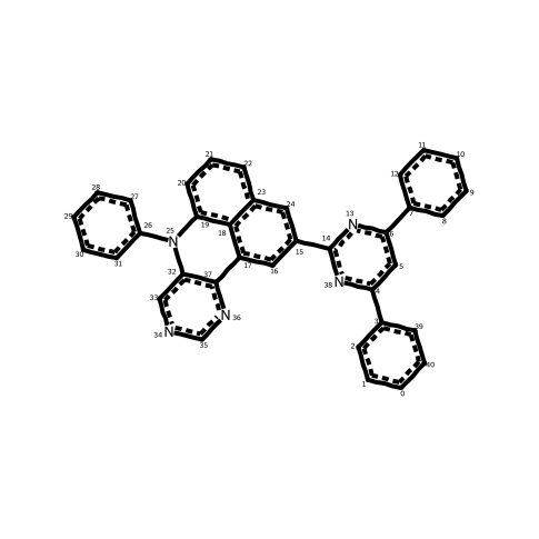 c1ccc(-c2cc(-c3ccccc3)nc(-c3cc4c5c(cccc5c3)N(c3ccccc3)c3cncnc3-4)n2)cc1